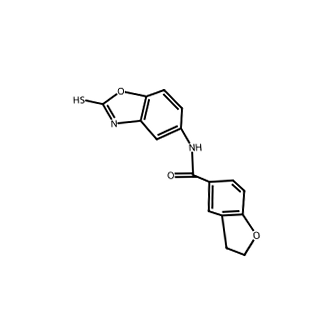 O=C(Nc1ccc2oc(S)nc2c1)c1ccc2c(c1)CCO2